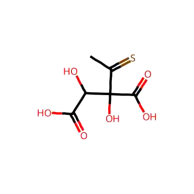 CC(=S)C(O)(C(=O)O)C(O)C(=O)O